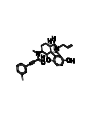 C=CCN1CC[C@@]23c4c5ccc(O)c4C[C@@H]1[C@@H]2CC[C@H](N(C)C(=O)C#Cc1cccc(C)c1)[C@@H]3O5